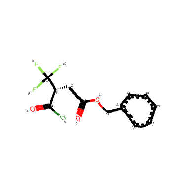 O=C(C[C@H](C(=O)Cl)C(F)(F)F)OCc1ccccc1